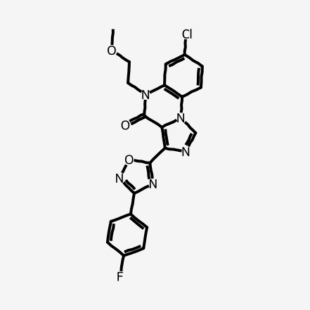 COCCn1c(=O)c2c(-c3nc(-c4ccc(F)cc4)no3)ncn2c2ccc(Cl)cc21